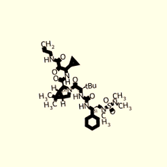 C=CCNC(=O)C(=O)C(NC(=O)[C@@H]1[C@@H]2[C@H](CN1C(=O)[C@@H](NC(=O)N[C@H](CN(C)S(=O)(=O)N(C)C)C1CCCCC1)C(C)(C)C)C2(C)C)C1CC1